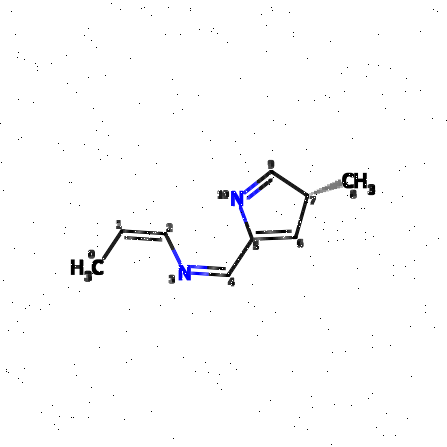 C/C=C\N=C/C1=C[C@@H](C)C=N1